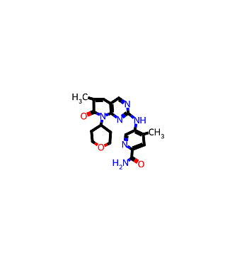 Cc1cc(C(N)=O)ncc1Nc1ncc2cc(C)c(=O)n(C3CCOCC3)c2n1